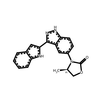 C[C@@H]1COC(=O)N1c1ccc2[nH]nc(-c3cc4ccccc4[nH]3)c2c1